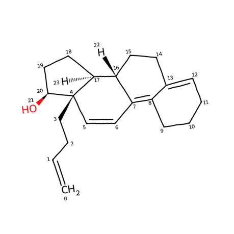 C=CCC[C@]12C=CC3=C4CCCC=C4CC[C@H]3[C@@H]1CC[C@@H]2O